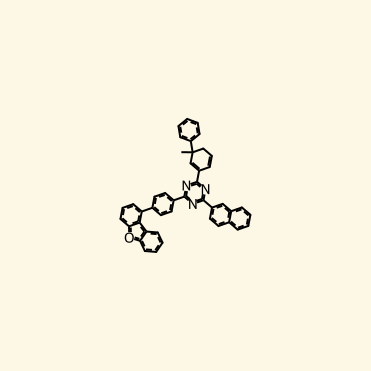 CC1(c2ccccc2)C=C(c2nc(-c3ccc(-c4cccc5oc6ccccc6c45)cc3)nc(-c3ccc4ccccc4c3)n2)C=CC1